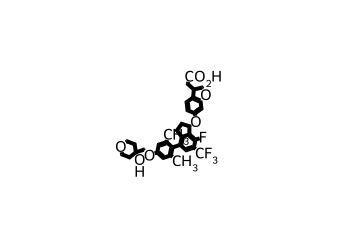 Cc1cc(OCC2(O)CCOCC2)cc(C)c1-c1cc(C(F)(F)F)c(F)c2c1CC[C@H]2Oc1ccc2c(c1)OCC2CC(=O)O